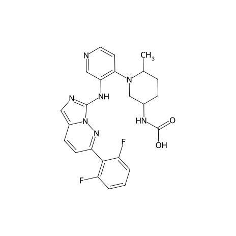 CC1CCC(NC(=O)O)CN1c1ccncc1Nc1ncc2ccc(-c3c(F)cccc3F)nn12